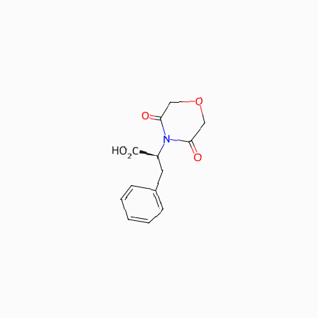 O=C(O)[C@H](Cc1ccccc1)N1C(=O)COCC1=O